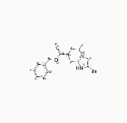 CCCN(CC1NC=C(Br)N1)C(=O)OCc1ccccc1